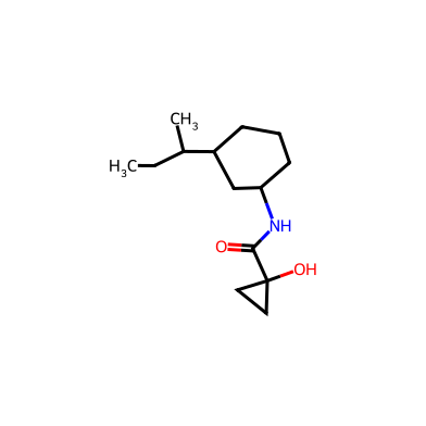 CCC(C)C1CCCC(NC(=O)C2(O)CC2)C1